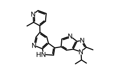 Cc1ncccc1-c1cnc2[nH]cc(-c3cnc4nc(C)n(C(C)C)c4c3)c2c1